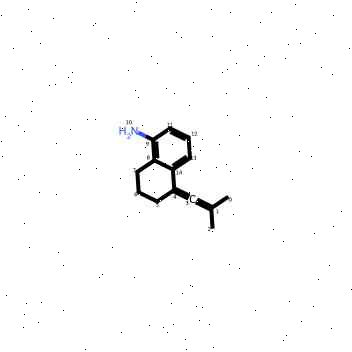 CC(C)=C=C1CCCc2c(N)cccc21